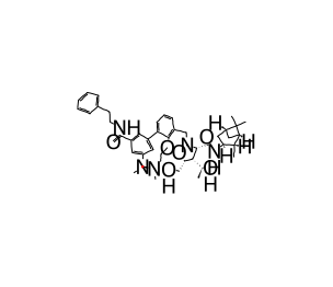 C[C@@H]1[C@@H](NC(=O)[C@@H]2[C@H]([C@H](C)O)[C@H](CO)ON2Cc2cccc(-c3cc(C(=O)NCCc4ccccc4)cc(N(C)C)c3)c2OCCN(C)C)C[C@H]2C[C@@H]1C2(C)C